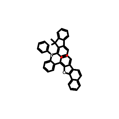 CC1(C)c2ccccc2-c2cccc(N(c3ccccc3)c3ccccc3-c3cccc4c3oc3c5ccccc5ccc43)c21